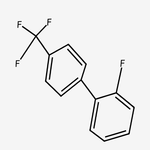 Fc1ccccc1-c1ccc(C(F)(F)F)cc1